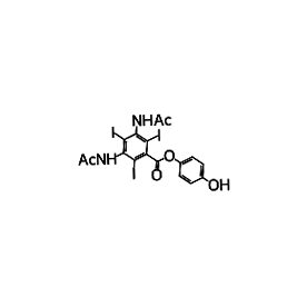 CC(=O)Nc1c(I)c(NC(C)=O)c(I)c(C(=O)Oc2ccc(O)cc2)c1I